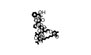 CC[C@H](C)C([C@@H](CC(=O)N1CCC[C@H]1[C@H](OC)[C@@H](C)C(=O)N[C@H](C)[C@@H](O)c1ccccc1)OC)N(C)C(=O)[C@@H](NC(=O)[C@H](C(C)C)N(C)C(=O)CCCCCN1C(=O)CC(C)C1=O)C(C)C